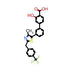 Cc1nc(Cc2ccc(C(F)(F)F)cc2)sc1-c1cccc(-c2ccc(C(=O)O)c(O)c2)c1